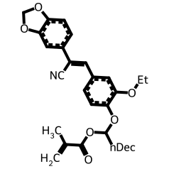 C=C(C)C(=O)OC(CCCCCCCCCC)Oc1ccc(C=C(C#N)c2ccc3c(c2)OCO3)cc1OCC